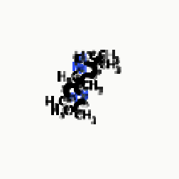 Cc1ccc(C(C)(C)c2ccc(C(C)(C)C)c3ncnn23)c2ncc(C(C)C)n12